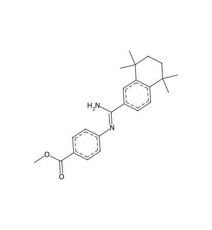 COC(=O)c1ccc(N=C(N)c2ccc3c(c2)C(C)(C)CCC3(C)C)cc1